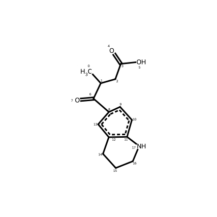 CC(CC(=O)O)C(=O)c1ccc2c(c1)CCCN2